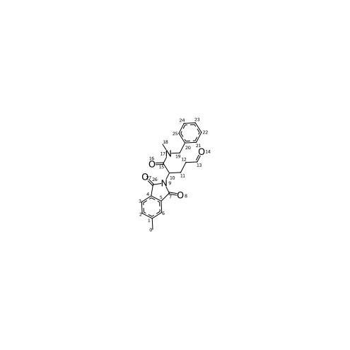 Cc1ccc2c(c1)C(=O)N(C(CCC=O)C(=O)N(C)Cc1ccccc1)C2=O